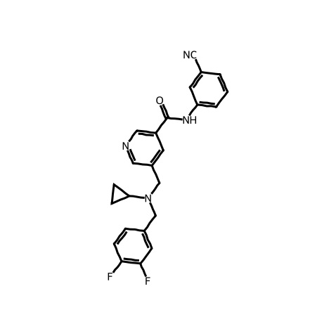 N#Cc1cccc(NC(=O)c2cncc(CN(Cc3ccc(F)c(F)c3)C3CC3)c2)c1